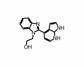 OCCn1c(C2=C3C=CNC3NC=C2)nc2ccccc21